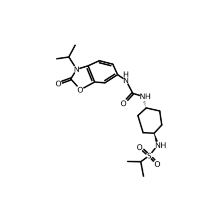 CC(C)n1c(=O)oc2cc(NC(=O)N[C@H]3CC[C@H](NS(=O)(=O)C(C)C)CC3)ccc21